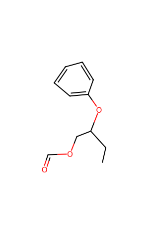 CCC(COC=O)Oc1ccccc1